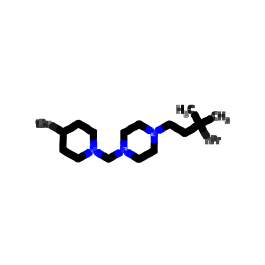 CCCC(C)(C)CCN1CCN(CN2CCC(C(C)(C)C)CC2)CC1